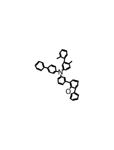 Cc1ccccc1-c1cc(N(c2ccc(-c3ccccc3)cc2)c2cccc(-c3cccc4c3oc3ccccc34)c2)ccc1C